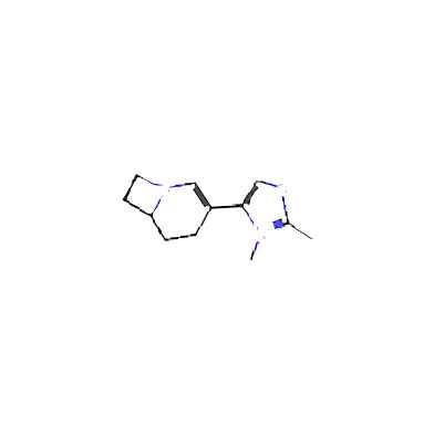 Cc1[nH]cc(C2=CN3CCC3CC2)[n+]1C